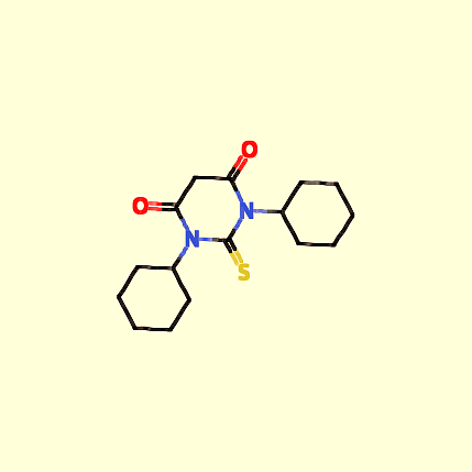 O=C1CC(=O)N(C2CCCCC2)C(=S)N1C1CCCCC1